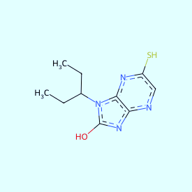 CCC(CC)n1c(O)nc2ncc(S)nc21